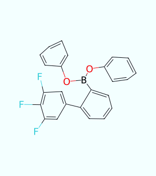 Fc1cc(-c2ccccc2B(Oc2ccccc2)Oc2ccccc2)cc(F)c1F